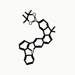 CC1(C)c2ccc(B3OC(C)(C)C(C)(C)O3)cc2-c2c1ccc1cc3c(cc21)c1cccc2c4ccccc4n3c21